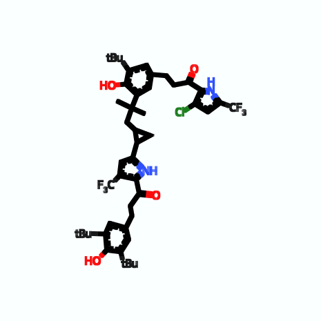 CC(C)(C)c1cc(CCC(=O)c2[nH]c(C3CC3CC(C)(C)c3cc(CCC(=O)c4[nH]c(C(F)(F)F)cc4Cl)cc(C(C)(C)C)c3O)cc2C(F)(F)F)cc(C(C)(C)C)c1O